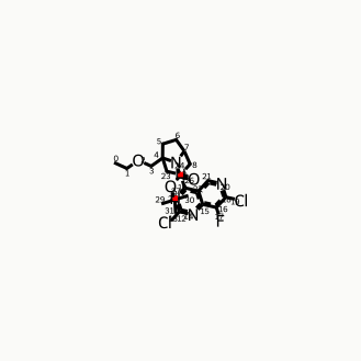 CCOCC12CCC(CN(c3nc(Cl)nc4c(F)c(Cl)ncc34)C1)N2C(=O)OC(C)(C)C